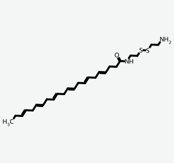 CCC=CCC=CCC=CCC=CCC=CCC=CCCC(=O)NCCSSCCN